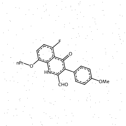 CCCOc1ccc(F)c2c(=O)c(-c3ccc(OC)cc3)c(C=O)[nH]c12